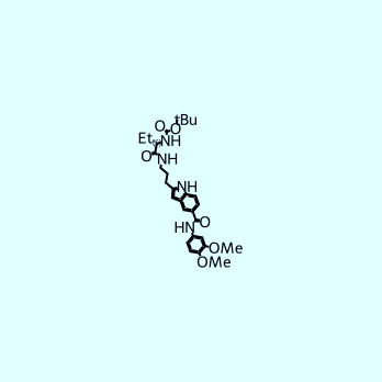 CC[C@H](NC(=O)OC(C)(C)C)C(=O)NCCCc1cc2cc(C(=O)Nc3ccc(OC)c(OC)c3)ccc2[nH]1